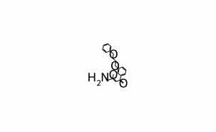 NCc1cc(=O)c2cccc(OCCOc3ccccc3)c2o1